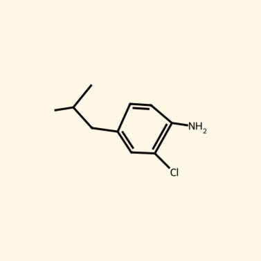 CC(C)Cc1ccc(N)c(Cl)c1